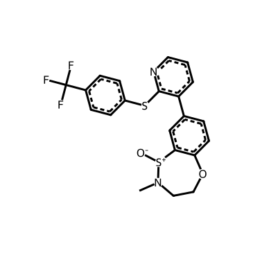 CN1CCOc2ccc(-c3cccnc3Sc3ccc(C(F)(F)F)cc3)cc2[S+]1[O-]